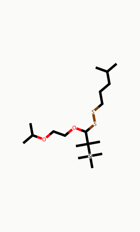 CC(C)CCCSSC(OCCOC(C)C)C(C)(C)[Si](C)(C)C